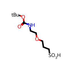 CC(C)(C)OC(=O)NCCOCCCS(=O)(=O)O